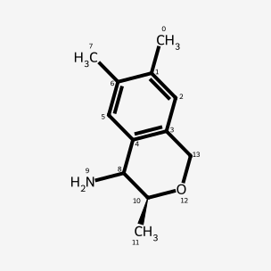 Cc1cc2c(cc1C)C(N)[C@H](C)OC2